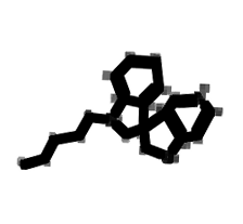 CCCCCN1CC2(COc3ccncc32)c2ccccc21